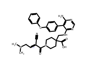 CN(C)C/C=C(\C#N)C(=O)N1CCC(CNc2ncnc(N)c2-c2ccc(Oc3ccccc3)cc2)(C(=O)O)CC1